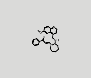 COc1ccc2nccc(CNC3CCCCCN3C=CC(=O)c3ccccc3)c2c1